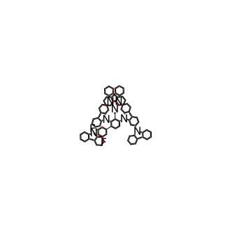 N#Cc1c(-n2c3cc(-n4c5ccccc5c5ccccc54)ccc3c3ccc(-n4c5ccccc5c5ccccc54)cc32)ccc(-c2cc(F)cc(F)c2)c1-n1c2cc(-n3c4ccccc4c4ccccc43)ccc2c2ccc(-n3c4ccccc4c4ccccc43)cc21